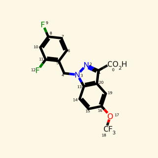 O=C(O)c1nn(Cc2ccc(F)cc2F)c2ccc(OC(F)(F)F)cc12